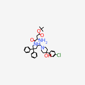 CC(C)(C)OC(=O)CC(N)C(=O)NCC(CCCN1CCC(O)(c2ccc(Cl)cc2)CC1)(c1ccccc1)c1ccccc1